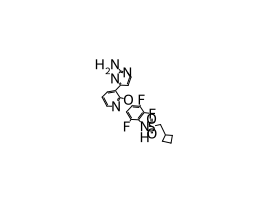 Nc1nccc(-c2cccnc2Oc2cc(F)c(NS(=O)(=O)CC3CCC3)c(F)c2F)n1